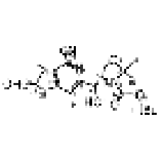 Cc1c(C(O)[C@H]2COC(C)(C)N2C(=O)OC(C)(C)C)nc(C#N)c2c1CC(C=O)C2